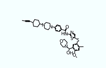 CC#CC1CCC(N2CCN(c3ccc(C(=O)Nc4ncc(Sc5cc(C(O)N6CCOCC6)c(OC)cc5C)s4)cc3)CC2)CC1